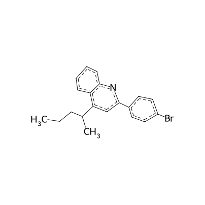 CCCC(C)c1cc(-c2ccc(Br)cc2)nc2ccccc12